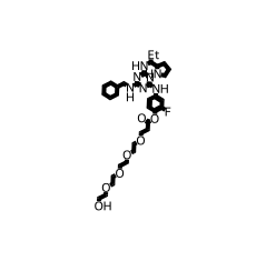 CCC(Nc1nc(NCC2CCCCC2)nc(Nc2ccc(OC(=O)CCOCCOCCOCCOCCO)c(F)c2)n1)C1CCCN1